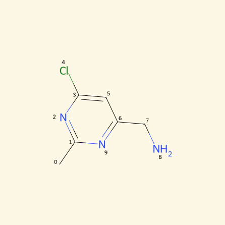 Cc1nc(Cl)cc(CN)n1